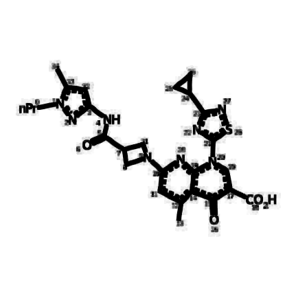 CCCn1nc(NC(=O)C2CN(c3cc(C)c4c(=O)c(C(=O)O)cn(-c5nc(C6CC6)ns5)c4n3)C2)cc1C